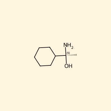 C[C@](N)(O)C1CCCCC1